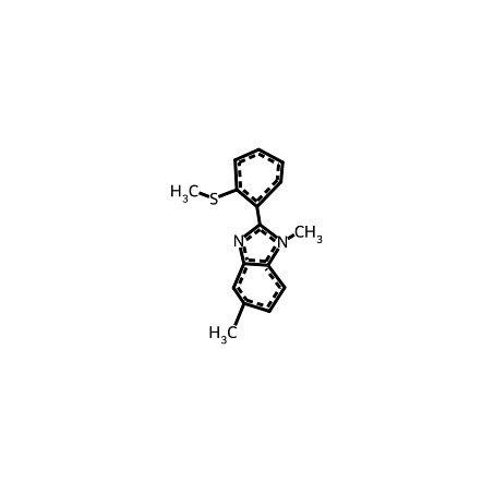 CSc1ccccc1-c1nc2cc(C)ccc2n1C